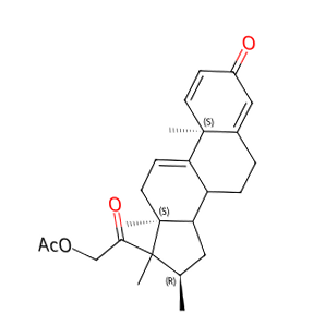 CC(=O)OCC(=O)C1(C)[C@H](C)CC2C3CCC4=CC(=O)C=C[C@]4(C)C3=CC[C@@]21C